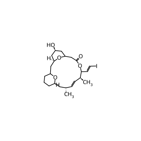 C[C@H]1/C=C/[C@H](C)C(/C=C/I)OC(=O)CC2C[C@H](O)C[C@H](CC3CCC[C@H](C1)O3)O2